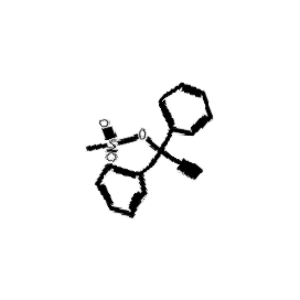 C#CC(OS(C)(=O)=O)(c1ccccc1)c1ccccc1